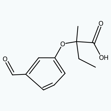 CCC(C)(Oc1cccc(C=O)c1)C(=O)O